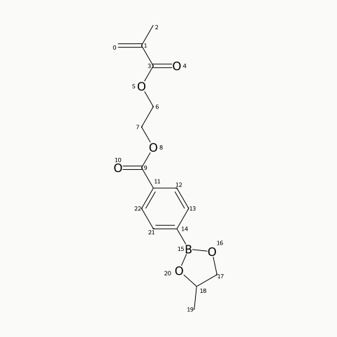 C=C(C)C(=O)OCCOC(=O)c1ccc(B2OCC(C)O2)cc1